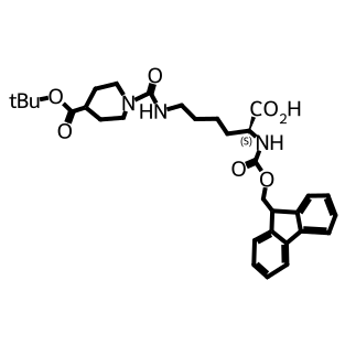 CC(C)(C)OC(=O)C1CCN(C(=O)NCCCC[C@H](NC(=O)OCC2c3ccccc3-c3ccccc32)C(=O)O)CC1